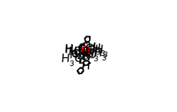 CC1=Cc2c(-c3ccccc3)cccc2[CH]1[Zr]([NH]C(=O)[Si](C)(C)C)([NH]C(=O)[Si](C)(C)C)[CH]1C(C)=Cc2c(-c3ccccc3)cccc21.[GaH3]